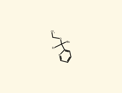 CCC(OCC(F)(F)F)(c1ccccn1)C(C)(C)C